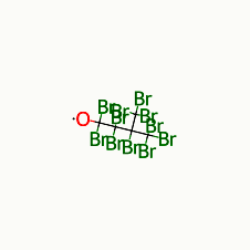 [O]C(Br)(Br)C(Br)(Br)C(Br)(C(Br)(Br)Br)C(Br)(Br)Br